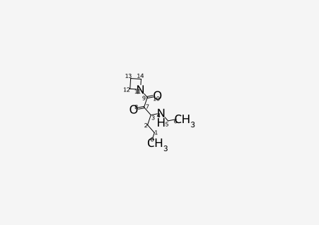 CCCC(NCC)C(=O)C(=O)N1CCC1